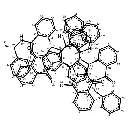 C[C@H](NC(=O)c1ccccc1[C@H]1n2c(=O)c3ccccc3c(=O)n2[C@H](c2ccccc2C(=O)N[C@@H](C)c2ccccc2)P1c1ccccc1P1[C@@H](c2ccccc2C(=O)N[C@@H](C)c2ccccc2)n2c(=O)c3ccccc3c(=O)n2[C@@H]1c1ccccc1C(=O)N[C@@H](C)c1ccccc1)c1ccccc1